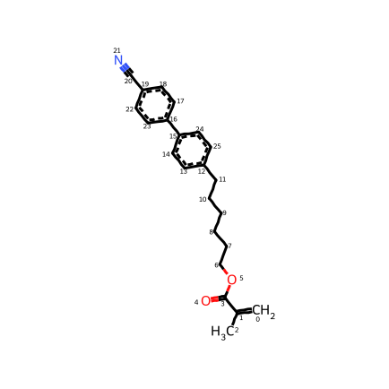 C=C(C)C(=O)OCCCCCCc1ccc(-c2ccc(C#N)cc2)cc1